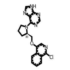 Clc1ncc(OC[C@H]2CCCN2c2ncnc3[nH]cnc23)c2ccccc12